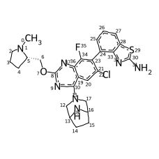 CN1CCC[C@H]1COc1nc(N2CC3CCC(C2)N3)c2cc(Cl)c(-c3cccc4sc(N)nc34)c(F)c2n1